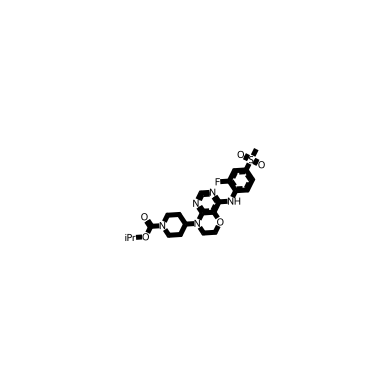 CC(C)OC(=O)N1CCC(N2CCOc3c(Nc4ccc(S(C)(=O)=O)cc4F)ncnc32)CC1